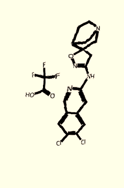 Clc1cc2cnc(NC3=NO[C@@]4(C3)CN3CCC4CC3)cc2cc1Cl.O=C(O)C(F)(F)F